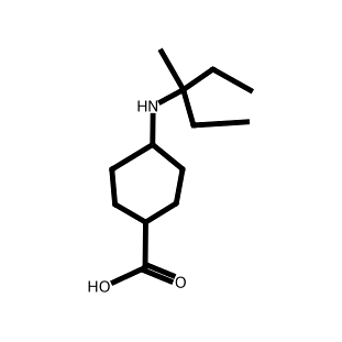 CCC(C)(CC)NC1CCC(C(=O)O)CC1